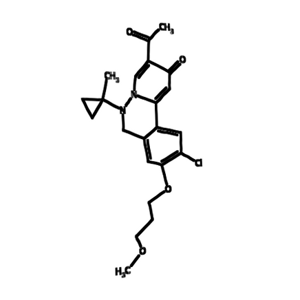 COCCCOc1cc2c(cc1Cl)-c1cc(=O)c(C(C)=O)cn1N(C1(C)CC1)C2